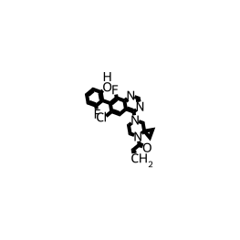 C=CC(=O)N1CCN(c2ncnc3c(F)c(-c4c(O)cccc4F)c(Cl)cc23)CC12CC2